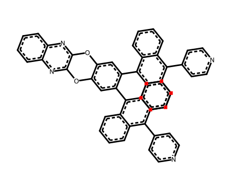 c1ccc2nc3c(nc2c1)Oc1cc(-c2c4ccccc4c(-c4ccncc4)c4ccccc24)c(-c2c4ccccc4c(-c4ccncc4)c4ccccc24)cc1O3